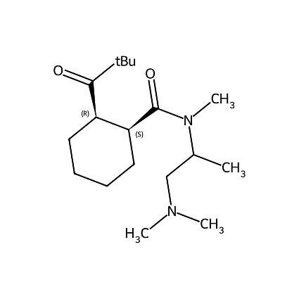 CC(CN(C)C)N(C)C(=O)[C@H]1CCCC[C@H]1C(=O)C(C)(C)C